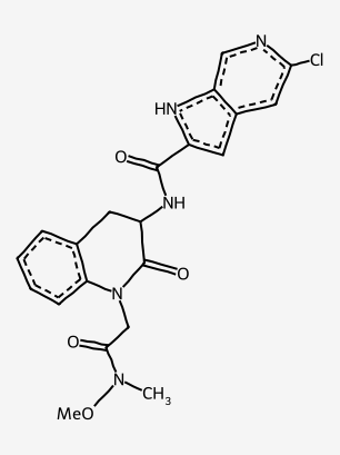 CON(C)C(=O)CN1C(=O)C(NC(=O)c2cc3cc(Cl)ncc3[nH]2)Cc2ccccc21